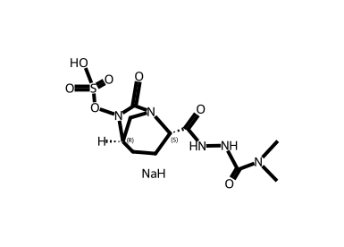 CN(C)C(=O)NNC(=O)[C@@H]1CC[C@@H]2CN1C(=O)N2OS(=O)(=O)O.[NaH]